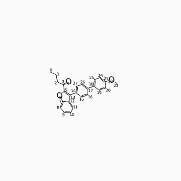 CCCC(=O)c1oc2ccccc2c1-c1ccc(-c2ccc(OC)cc2)cc1